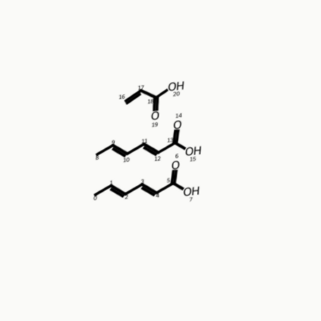 C/C=C/C=C/C(=O)O.C/C=C/C=C/C(=O)O.C=CC(=O)O